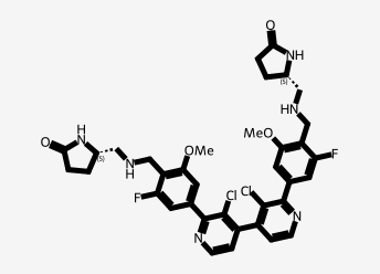 COc1cc(-c2nccc(-c3ccnc(-c4cc(F)c(CNC[C@@H]5CCC(=O)N5)c(OC)c4)c3Cl)c2Cl)cc(F)c1CNC[C@@H]1CCC(=O)N1